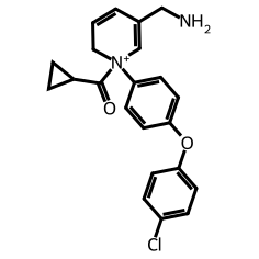 NCC1=C[N+](C(=O)C2CC2)(c2ccc(Oc3ccc(Cl)cc3)cc2)CC=C1